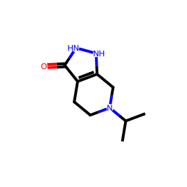 CC(C)N1CCc2c([nH][nH]c2=O)C1